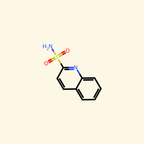 NS(=O)(=O)c1ccc2ccccc2n1